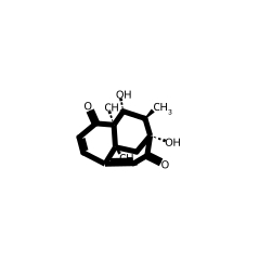 C[C@@H]1[C@@H](O)[C@]2(C)C(=O)C=CC3=CC(=O)[C@@]1(O)C[C@@]32C